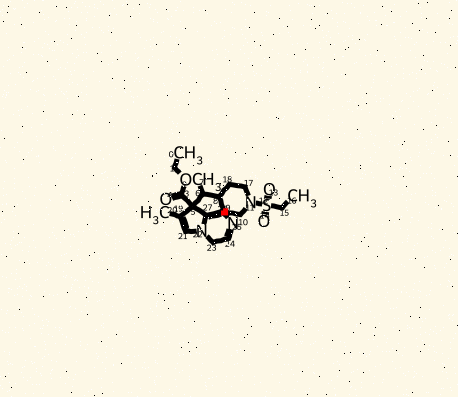 CCOC(=O)C1(C(C)C2CCN(S(=O)(=O)CC)CC2)C(C)=CN2CC=NC=C21